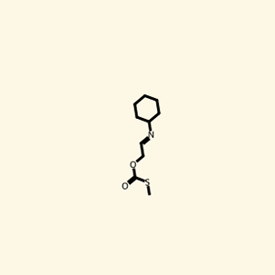 CSC(=O)OCC=NC1CCCCC1